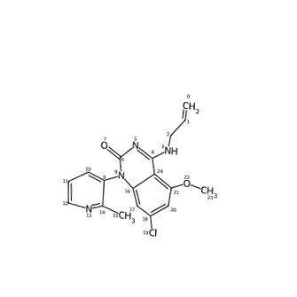 C=CCNc1nc(=O)n(-c2cccnc2C)c2cc(Cl)cc(OC)c12